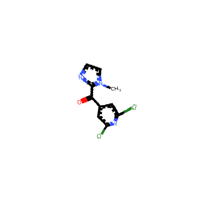 Cn1ccnc1C(=O)c1cc(Cl)nc(Cl)c1